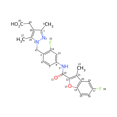 Cc1nn(Cc2ccc(NC(=O)c3oc4ccc(F)cc4c3C)cc2F)c(C)c1CC(=O)O